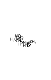 Cc1cccc(CNCCN[C@H](C(=O)O)C(C)(C)C)n1